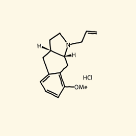 C=CCN1CC[C@H]2Cc3cccc(OC)c3C[C@H]21.Cl